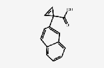 O=C(O)C1(c2ccc3ccccc3c2)C=C1